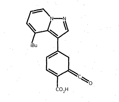 CCC(C)c1cccn2ncc(C3=CC=C(C(=O)O)C(=C=O)C3)c12